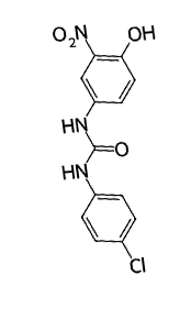 O=C(Nc1ccc(Cl)cc1)Nc1ccc(O)c([N+](=O)[O-])c1